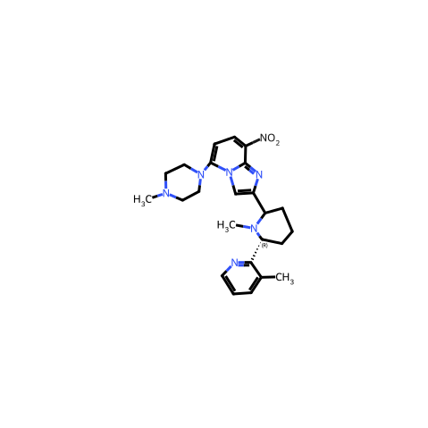 Cc1cccnc1[C@H]1CCCC(c2cn3c(N4CCN(C)CC4)ccc([N+](=O)[O-])c3n2)N1C